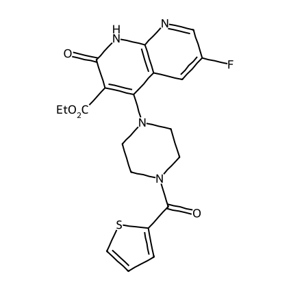 CCOC(=O)c1c(N2CCN(C(=O)c3cccs3)CC2)c2cc(F)cnc2[nH]c1=O